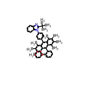 Bc1c(B)c(B)c2c(-c3ccccc3-c3ccccc3)c3c(B)c(B)c(B)c(B)c3c(-c3ccc(-n4c(C(B)(B)B)nc5ccccc54)cc3)c2c1B